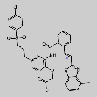 O=C(O)COc1ccc(CCCS(=O)(=O)c2ccc(Cl)cc2)cc1NC(=O)c1ccccc1/C=C/c1nc2c(F)cccc2s1